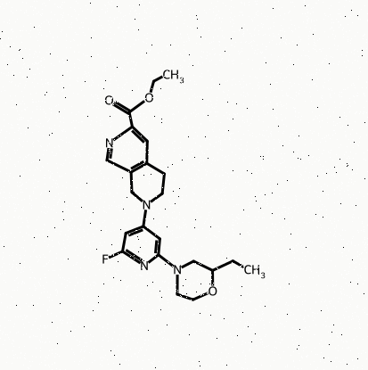 CCOC(=O)c1cc2c(cn1)CN(c1cc(F)nc(N3CCOC(CC)C3)c1)CC2